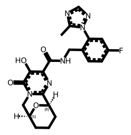 Cc1ncnn1-c1cc(F)ccc1CNC(=O)c1nc2n(c(=O)c1O)C[C@@H]1CCC[C@H]2O1